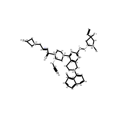 C=CC1(F)C[C@@H](COc2nc3c(c(N4CCN(C(=O)/C=C/CN5CC(F)C5)[C@@H](CC#N)C4)n2)CCN(c2cccc4cccc(C)c24)C3)N(C)C1